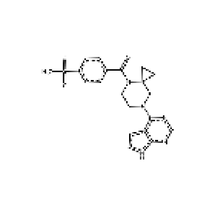 CS(=O)(=O)c1ccc(C(=O)N2CCN(c3ncnc4[nH]ccc34)CC23CC3)cc1